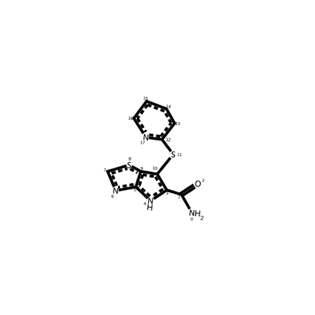 NC(=O)c1[nH]c2ncsc2c1Sc1ccccn1